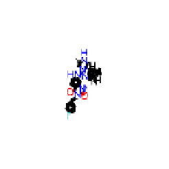 C[C@@H]1C(N=C(Nc2ccc3c(=O)n(CCc4ccc(F)cc4)c(=O)n(C)c3c2)N2CCN[C@@H](C)C2)C[C@H]2C[C@@H]1C2(C)C